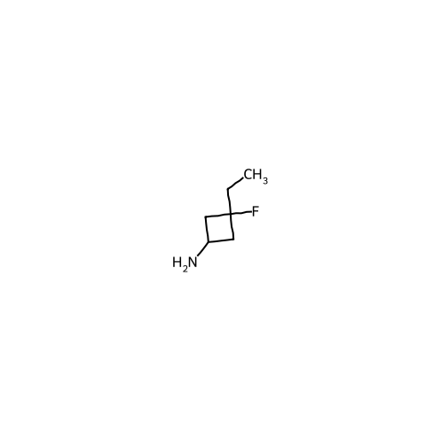 CCC1(F)CC(N)C1